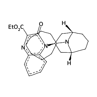 CCOC(=O)c1nc2ccccc2n([C@@H]2C[C@H]3CCC[C@@H](C2)N3C2CCCCCCC2)c1=O